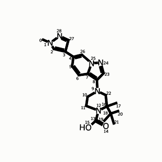 Cn1cc(-c2ccc3c(N4CCN(C(=O)O)C(C)(C(C)(C)C)C4)cnn3c2)cn1